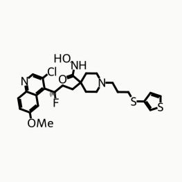 COc1ccc2ncc(Cl)c([C@H](F)CCC3(C(=O)NO)CCN(CCCSc4ccsc4)CC3)c2c1